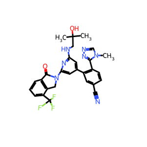 Cn1cnnc1-c1ccc(C#N)cc1-c1cc(NCC(C)(C)O)nc(N2Cc3c(cccc3C(F)(F)F)C2=O)c1